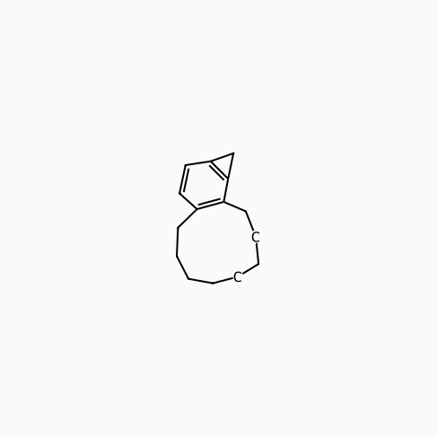 c1cc2c(c3c1CCCCCCCC3)C2